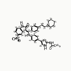 CC(=O)Nc1nc(-c2ccc(NC(=C3C(=O)Nc4ccc([N+](=O)[O-])cc43)c3ccc(CCN4CCCCC4)cc3)cc2)c[nH]1